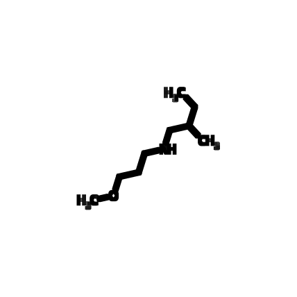 CCC(C)CNCCCOC